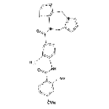 COc1ccc(C(=O)Nc2ccc(C(=O)N3Cc4cccn4Cc4ccccc43)cc2C)c(OC)c1